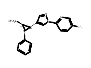 CCOC(=O)[C@@H]1[C@H](c2ccccc2)[C@H]1c1cnn(-c2ccc(C(F)(F)F)cn2)c1